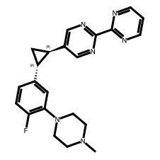 CN1CCN(c2cc([C@@H]3C[C@H]3c3cnc(-c4ncccn4)nc3)ccc2F)CC1